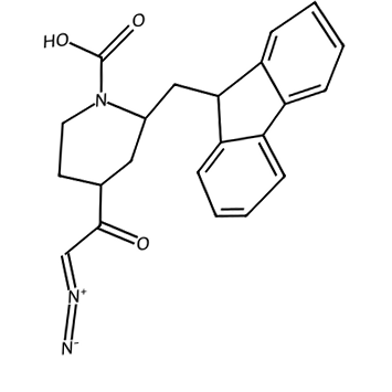 [N-]=[N+]=CC(=O)C1CCN(C(=O)O)C(CC2c3ccccc3-c3ccccc32)C1